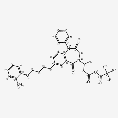 CC(CC(=O)OC(=O)C(F)(F)F)N1CC(=O)N(c2ccccc2)c2ccc(CCCCOc3cccnc3N)cc2C1=O